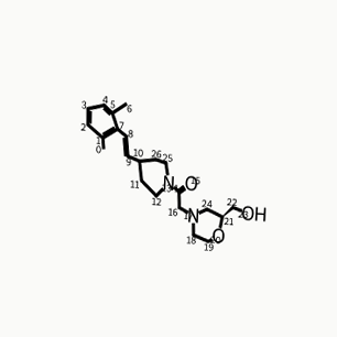 Cc1cccc(C)c1/C=C/C1CCN(C(=O)CN2CCO[C@H](CO)C2)CC1